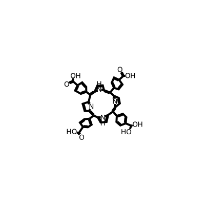 O=C(O)c1ccc(-c2c3nc(c(-c4ccc(C(=O)O)cc4)c4ccc([nH]4)c(-c4ccc(C(O)O)cc4)c4nc(c(-c5ccc(C(=O)O)cc5)c5ccc2[nH]5)C=C4)C=C3)cc1